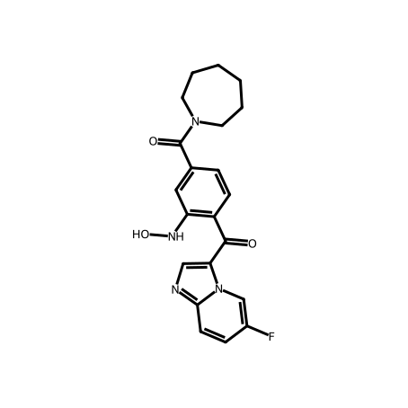 O=C(c1ccc(C(=O)N2CCCCCC2)cc1NO)c1cnc2ccc(F)cn12